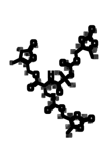 CC1=C(COC(=O)[C@H](CSC(=O)OCc2oc(=O)oc2C)NC(=O)C(C)(C)SC(=O)OCc2oc(=O)oc2C)OC(=O)C1